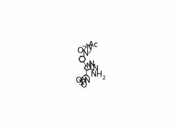 CC(=O)N1CCN(c2cccc(-c3cc(-c4cnn(S(C)(=O)=O)c4)c4c(N)ncnn34)c2)C(=O)C1(C)C